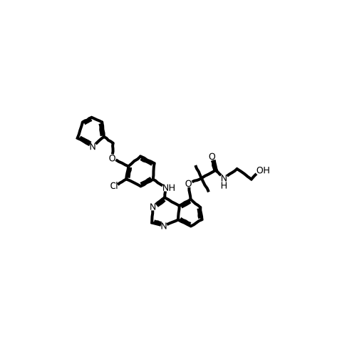 CC(C)(Oc1cccc2ncnc(Nc3ccc(OCc4ccccn4)c(Cl)c3)c12)C(=O)NCCO